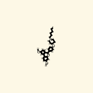 CCCCCCN1CCC(Oc2ccc(C(=O)c3ccc(OC)cc3-c3ccc(OC)cc3)cc2)CC1